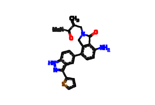 C=C(CN1Cc2c(-c3ccc4[nH]nc(-c5cccs5)c4c3)ccc(N)c2C1=O)C(=O)NC